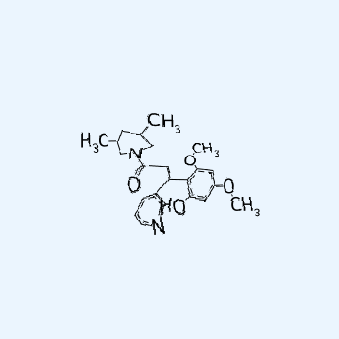 COc1cc(O)c(C(CC(=O)N2CC(C)CC(C)C2)c2cccnc2)c(OC)c1